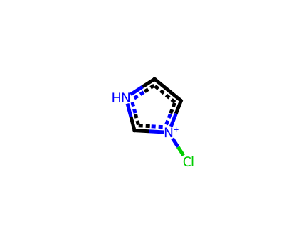 Cl[n+]1cc[nH]c1